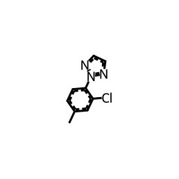 Cc1ccc(-n2nccn2)c(Cl)c1